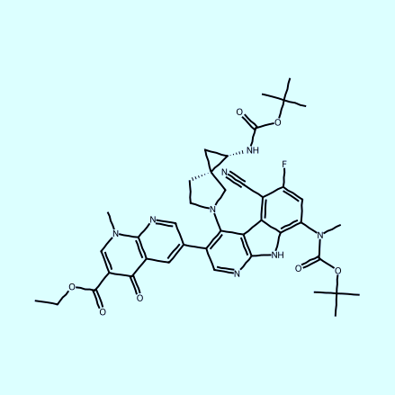 CCOC(=O)c1cn(C)c2ncc(-c3cnc4[nH]c5c(N(C)C(=O)OC(C)(C)C)cc(F)c(C#N)c5c4c3N3CC[C@@]4(C[C@@H]4NC(=O)OC(C)(C)C)C3)cc2c1=O